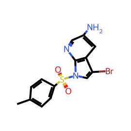 Cc1ccc(S(=O)(=O)n2cc(Br)c3cc(N)cnc32)cc1